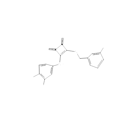 O=c1c(NCc2cccc(O)c2)c(Nc2ccc(O)c(C(F)(F)F)c2)c1=O